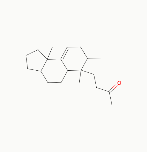 CC(=O)CCC1(C)C(C)CC=C2C1CCC1CCCC21C